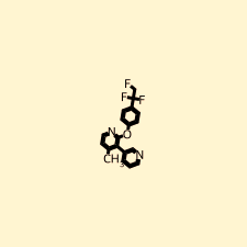 Cc1ccnc(Oc2ccc(C(F)(F)CF)cc2)c1-c1cccnc1